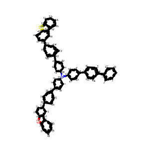 c1ccc(-c2ccc(-c3ccc(N(c4ccc(-c5ccc(-c6ccc7oc8ccccc8c7c6)cc5)cc4)c4ccc(-c5ccc(-c6ccc7sc8ccccc8c7c6)cc5)cc4)cc3)cc2)cc1